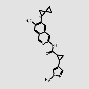 Cc1cc2cnc(NC(=O)C3CC3c3cnn(C)c3)cc2cc1[C@H]1CC12CC2